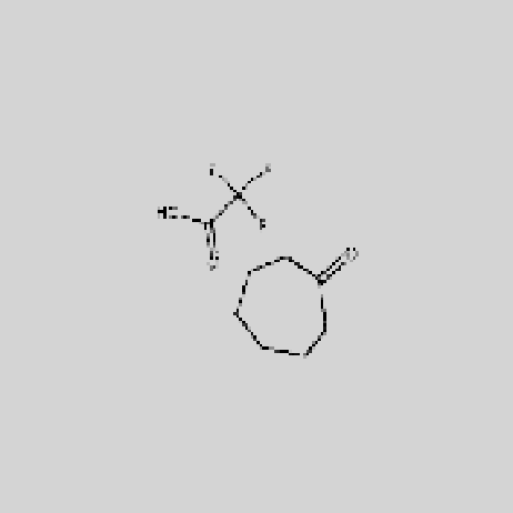 O=C(O)C(F)(F)F.O=C1CCCCCC1